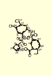 COC(=O)c1cc(S(=O)(=O)Nc2cc(Cl)c(Cl)cc2NS(=O)(=O)c2cccs2)ccc1C